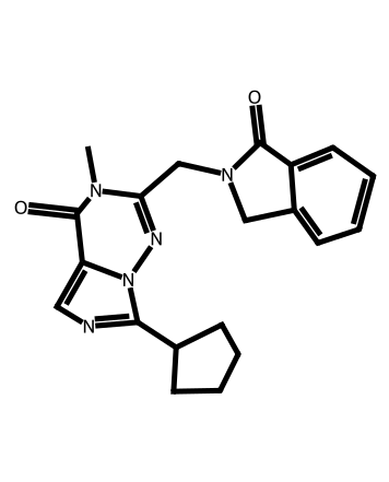 Cn1c(CN2Cc3ccccc3C2=O)nn2c(C3CCCC3)ncc2c1=O